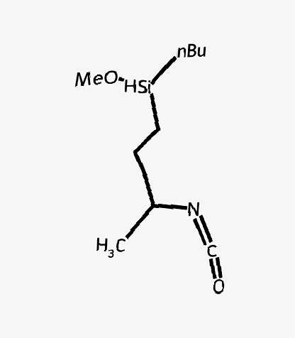 CCCC[SiH](CCC(C)N=C=O)OC